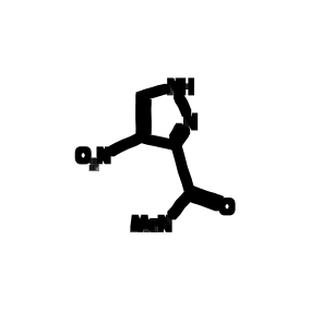 CNC(=O)c1n[nH]cc1[N+](=O)[O-]